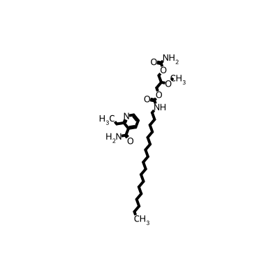 CCCCCCCCCCCCCCCCCCNC(=O)OCC(COC(N)=O)OC.CCc1ncccc1C(N)=O